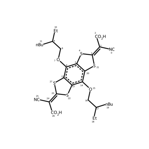 [C-]#[N+]C(C(=O)O)=C1Sc2c(OCC(CC)CCCC)c3c(c(OCC(CC)CCCC)c2S1)SC(=C(C#N)C(=O)O)S3